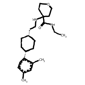 CCNC(=O)C1(NCC[C@H]2CC[C@@H](c3ccc(C)cc3C)CC2)CCOCC1